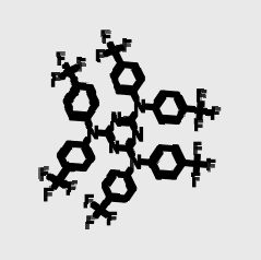 FC(F)(F)c1ccc(N(c2ccc(C(F)(F)F)cc2)c2nc(N(c3ccc(C(F)(F)F)cc3)c3ccc(C(F)(F)F)cc3)nc(N(c3ccc(C(F)(F)F)cc3)c3ccc(C(F)(F)F)cc3)n2)cc1